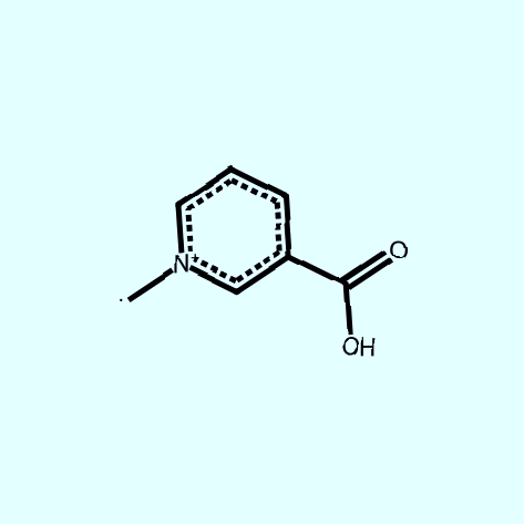 [CH2][n+]1cccc(C(=O)O)c1